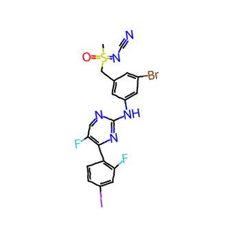 CS(=O)(Cc1cc(Br)cc(Nc2ncc(F)c(-c3ccc(I)cc3F)n2)c1)=NC#N